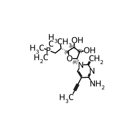 C=C1N=C(N)C(C#CC)=CN1[C@@H]1O[C@H](C(C)CP(=C)(C)C)[C@@H](O)[C@H]1O